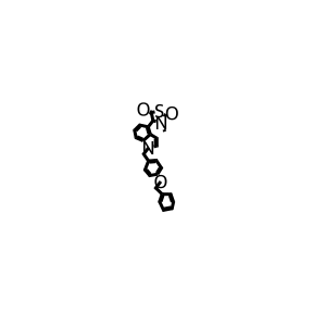 CN1C(=O)SC(=O)C1c1cccc2c1ccn2Cc1ccc(OCc2ccccc2)cc1